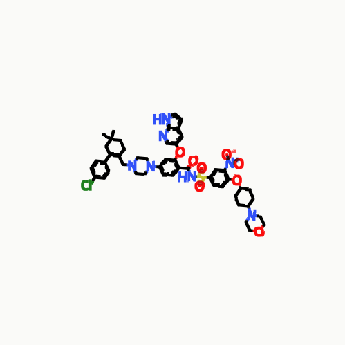 CC1(C)CCC(CN2CCN(c3ccc(C(=O)NS(=O)(=O)c4ccc(O[C@H]5CC[C@H](N6CCOCC6)CC5)c([N+](=O)[O-])c4)c(Oc4cnc5[nH]ccc5c4)c3)CC2)=C(c2ccc(Cl)cc2)C1